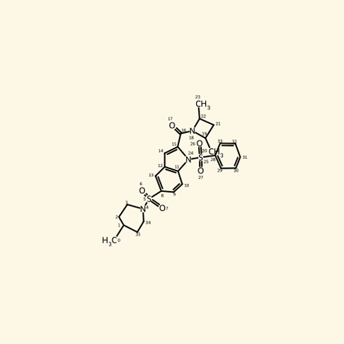 CC1CCN(S(=O)(=O)c2ccc3c(c2)cc(C(=O)N2C(C)CC2C)n3S(=O)(=O)c2ccccc2)CC1